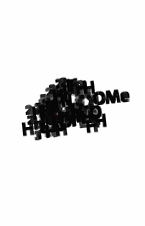 [2H]c1c(OC)c(OC([2H])([2H])[2H])c([2H])c2c1C([2H])([2H])C([2H])([2H])N1C([2H])([2H])C([2H])(C([2H])([2H])C(C)(C([2H])([2H])[2H])C([2H])([2H])[2H])C([2H])(O)C([2H])([2H])C21[2H]